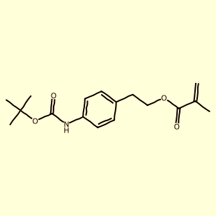 C=C(C)C(=O)OCCc1ccc(NC(=O)OC(C)(C)C)cc1